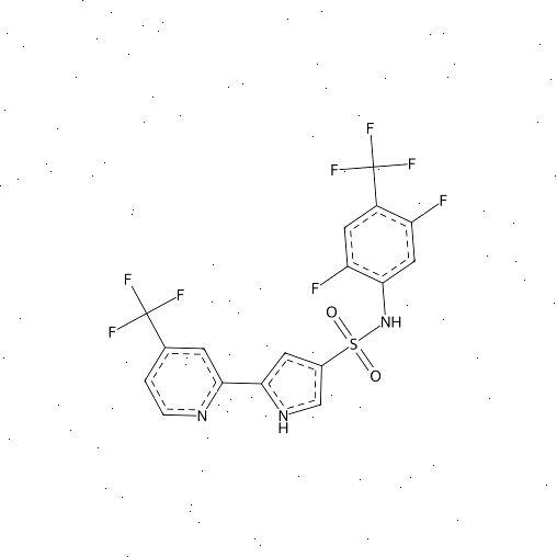 O=S(=O)(Nc1cc(F)c(C(F)(F)F)cc1F)c1c[nH]c(-c2cc(C(F)(F)F)ccn2)c1